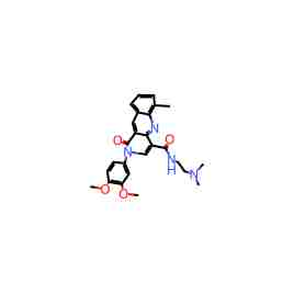 COc1ccc(-n2cc(C(=O)NCCN(C)C)c3nc4c(C)cccc4cc3c2=O)cc1OC